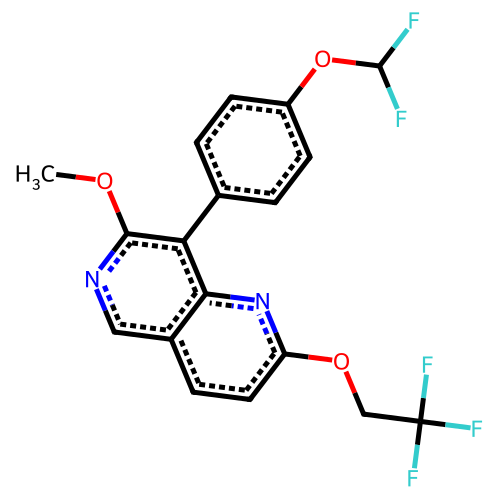 COc1ncc2ccc(OCC(F)(F)F)nc2c1-c1ccc(OC(F)F)cc1